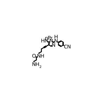 CCCNc1nc(Nc2ccc(C#N)cc2)ncc1C#CCCCNC(=O)CCN